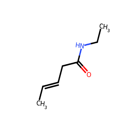 CC=CCC(=O)NCC